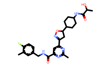 Cc1nc(C(=O)NCc2ccc(F)c(C)c2)cc(C2=NOC(C3CCC(NC(=O)C(C)O)CC3)C2)n1